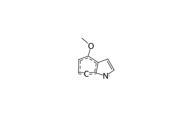 COc1cccc2c1C=C[N]2